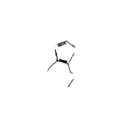 CNc1scnc1C